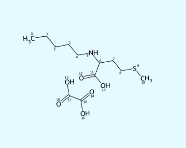 CCCCCNC(CCSC)C(=O)O.O=C(O)C(=O)O